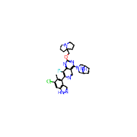 Cc1c(Cl)cc2[nH]ncc2c1-c1ncc2c(N3CC4CCC(C3)N4)nc(OCC34CCCN3CCC4)nc2c1F